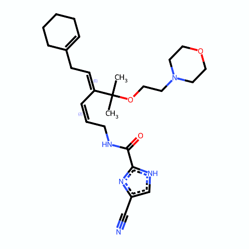 CC(C)(OCCN1CCOCC1)C(/C=C\CNC(=O)c1nc(C#N)c[nH]1)=C/CC1=CCCCC1